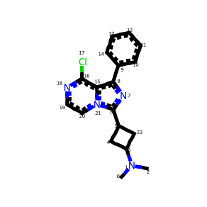 CN(C)C1CC(c2nc(-c3ccccc3)c3c(Cl)nccn23)C1